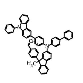 C=Cc1ccc(C2(C)c3ccccc3-c3ccc(N(c4ccc(-c5ccccc5)cc4)c4ccc(-c5ccc6c(c5)c5ccccc5n6-c5ccccc5)cc4)cc32)cc1